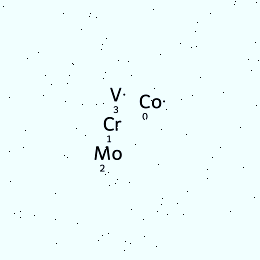 [Co].[Cr].[Mo].[V]